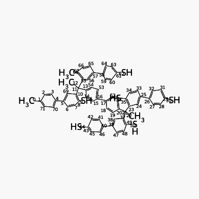 Cc1ccc(-c2ccc(S)c(C(C)(c3ccc(-c4ccc(C(C)(c5cc(-c6ccc(S)cc6)ccc5S)c5cc(-c6ccc(S)cc6)ccc5S)cc4)cc3)c3cc(-c4ccc(S)cc4)ccc3C)c2)cc1